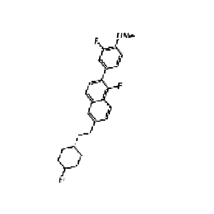 CC[C@H]1CC[C@H](CCc2ccc3c(F)c(-c4ccc(OC)c(F)c4)ccc3c2)CC1